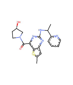 Cc1cc2nc(NC(C)c3ccccn3)nc(C(=O)N3CC[C@@H](O)C3)c2s1